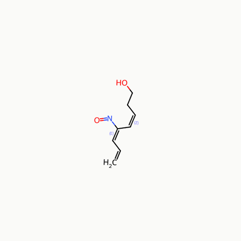 C=C/C=C(\C=C/CCO)N=O